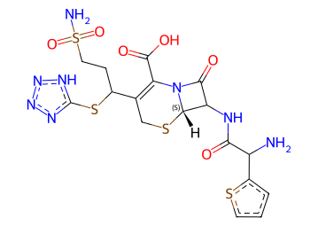 NC(C(=O)NC1C(=O)N2C(C(=O)O)=C(C(CCS(N)(=O)=O)Sc3nnn[nH]3)CS[C@@H]12)c1cccs1